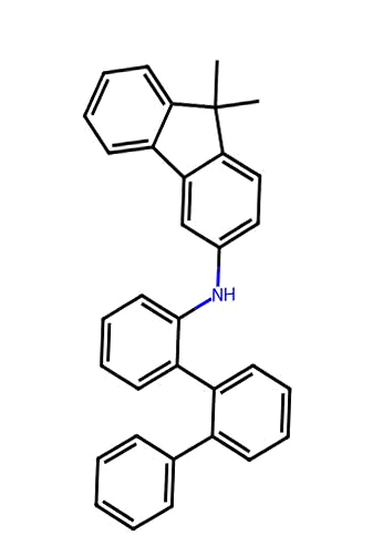 CC1(C)c2ccccc2-c2cc(Nc3ccccc3-c3ccccc3-c3ccccc3)ccc21